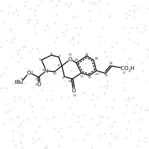 CC(C)(C)OC(=O)N1CCCC2(CC(=O)c3cc(/C=C/C(=O)O)ccc3O2)C1